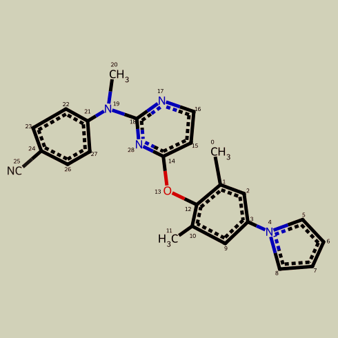 Cc1cc(-n2cccc2)cc(C)c1Oc1ccnc(N(C)c2ccc(C#N)cc2)n1